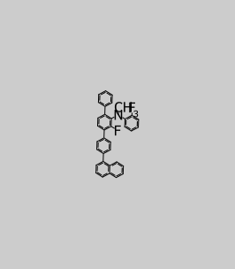 CN(c1ccccc1F)c1c(-c2ccccc2)ccc(-c2ccc(-c3cccc4ccccc34)cc2)c1F